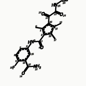 Cc1c(C(=O)Nc2ccc(F)c(C(N)=O)c2)c(C)n(C)c1C(=O)C(=O)NC(C)(C)C